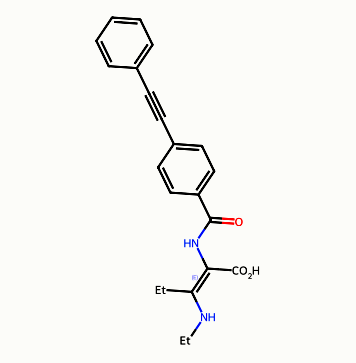 CCN/C(CC)=C(/NC(=O)c1ccc(C#Cc2ccccc2)cc1)C(=O)O